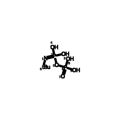 CC(C)(C)N=P(O)(O)OP(=O)(O)O